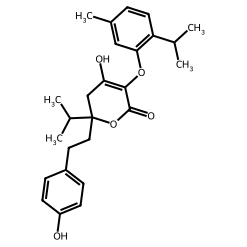 Cc1ccc(C(C)C)c(OC2=C(O)CC(CCc3ccc(O)cc3)(C(C)C)OC2=O)c1